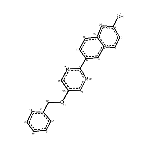 Oc1ccc2cc(-c3ncc(OCc4ccccc4)cn3)ccc2c1